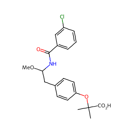 COC(Cc1ccc(OC(C)(C)C(=O)O)cc1)NC(=O)c1cccc(Cl)c1